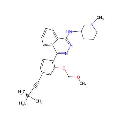 COCOc1cc(C#C[Si](C)(C)C)ccc1-c1nnc(NC2CCCN(C)C2)c2ccccc12